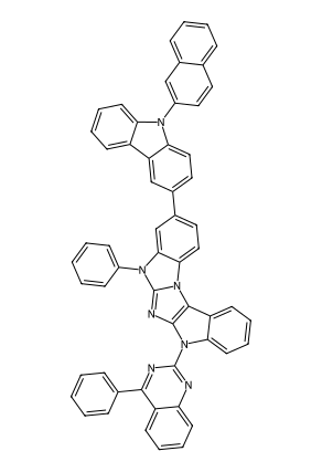 c1ccc(-c2nc(-n3c4ccccc4c4c3nc3n(-c5ccccc5)c5cc(-c6ccc7c(c6)c6ccccc6n7-c6ccc7ccccc7c6)ccc5n43)nc3ccccc23)cc1